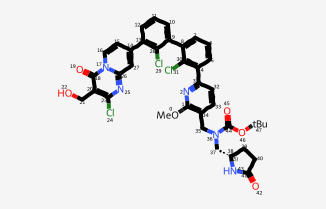 COc1nc(-c2cccc(-c3cccc(-c4ccn5c(=O)c(CO)c(Cl)nc5c4)c3Cl)c2Cl)ccc1CN(C[C@@H]1CCC(=O)N1)C(=O)OC(C)(C)C